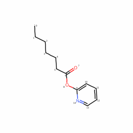 [CH2]CCCCCC(=O)Oc1ccccn1